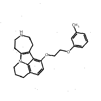 Cc1cccc(OCCOc2ccc3c4c2c2c(n4CCC3)CCNCC2)c1